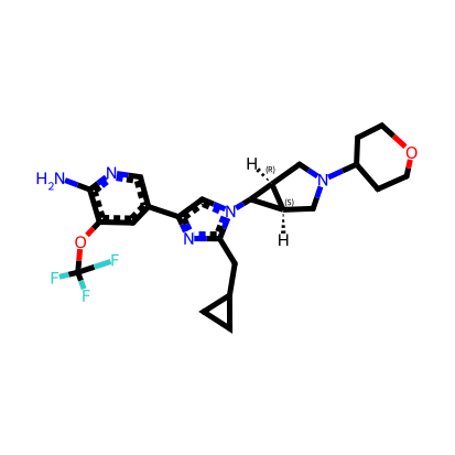 Nc1ncc(-c2cn(C3[C@H]4CN(C5CCOCC5)C[C@@H]34)c(CC3CC3)n2)cc1OC(F)(F)F